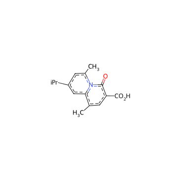 Cc1cc(C(=O)O)c(=O)n2c(C)cc(C(C)C)cc12